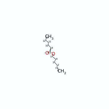 C=CCCCCOC([O])=CCCCC